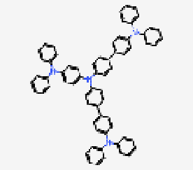 c1ccc(N(c2ccccc2)c2ccc(-c3ccc(N(c4ccc(-c5ccc(N(c6ccccc6)c6ccccc6)cc5)cc4)c4ccc(N(c5ccccc5)c5ccccc5)cc4)cc3)cc2)cc1